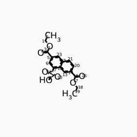 CCOC(=O)c1cc(S(=O)(=O)O)c2cc(C(=O)OCC)ccc2c1